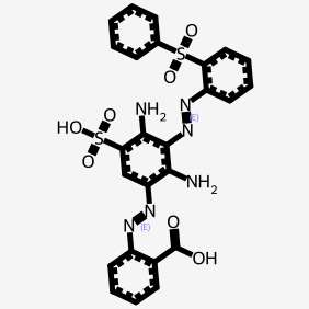 Nc1c(/N=N/c2ccccc2C(=O)O)cc(S(=O)(=O)O)c(N)c1/N=N/c1ccccc1S(=O)(=O)c1ccccc1